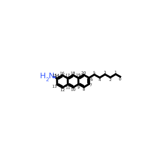 CCCCCCc1ccc2cc3ccc(N)cc3cc2c1